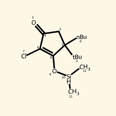 CCCCC1(C(C)(C)C)CC(=O)C(Cl)=C1O[SiH](C)C